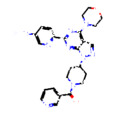 Nc1ccc(-c2nc(N3CCOCC3)c3cnn(C4CCN(C(=O)c5cccnc5)CC4)c3n2)nc1